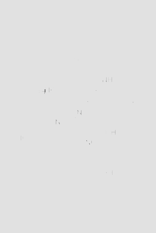 NC(CCO)(CCO)C(N)(CCO)CCO.OCCNCCN(CCO)CCO